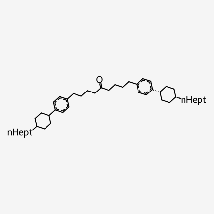 CCCCCCCC1CCC(c2ccc(CCCCC(=O)CCCCc3ccc([C@H]4CC[C@H](CCCCCCC)CC4)cc3)cc2)CC1